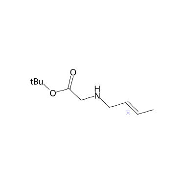 C/C=C/CNCC(=O)OC(C)(C)C